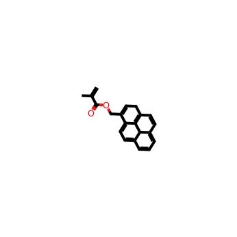 C=C(C)C(=O)OCC1=CCC2=C3C1=CC=C1C=CC=C(C=C2)C13